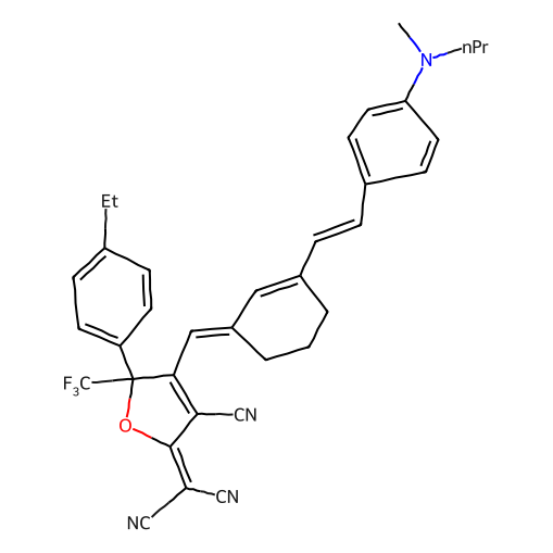 CCCN(C)c1ccc(/C=C/C2=CC(=C/C3=C(C#N)C(=C(C#N)C#N)OC3(c3ccc(CC)cc3)C(F)(F)F)/CCC2)cc1